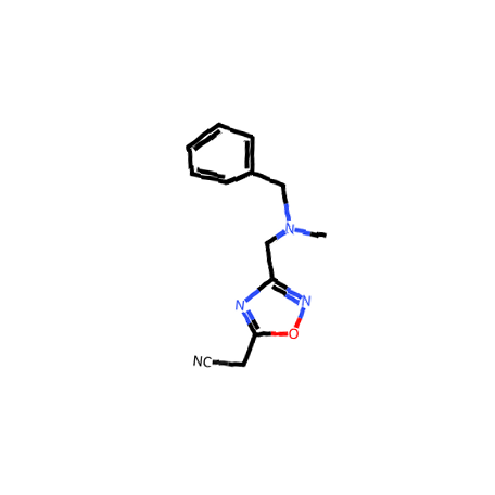 CN(Cc1ccccc1)Cc1noc(CC#N)n1